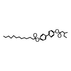 CCCCCCCCCCCCC(=O)Oc1ccc(-c2ccc(OC(=O)CC(C)CC)cc2)cc1